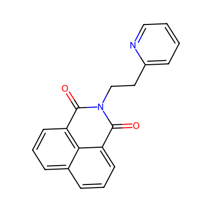 O=C1c2cccc3cccc(c23)C(=O)N1CCc1ccccn1